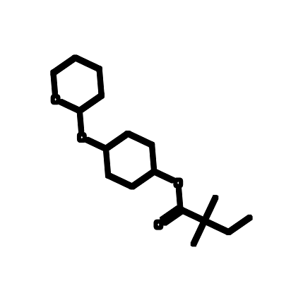 CCC(C)(C)C(=O)OC1CCC(OC2CCCCO2)CC1